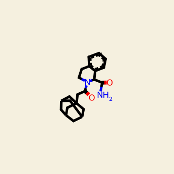 NC(=O)C1c2cc[c]cc2CCN1C(=O)CC12CC3CC(CC(C3)C1)C2